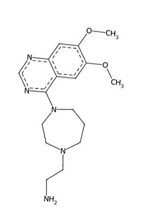 COc1cc2ncnc(N3CCCN(CCN)CC3)c2cc1OC